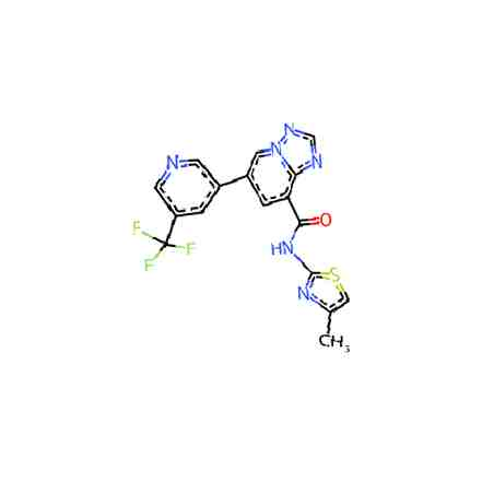 Cc1csc(NC(=O)c2cc(-c3cncc(C(F)(F)F)c3)cn3ncnc23)n1